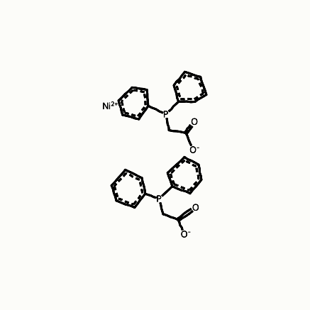 O=C([O-])CP(c1ccccc1)c1ccccc1.O=C([O-])CP(c1ccccc1)c1ccccc1.[Ni+2]